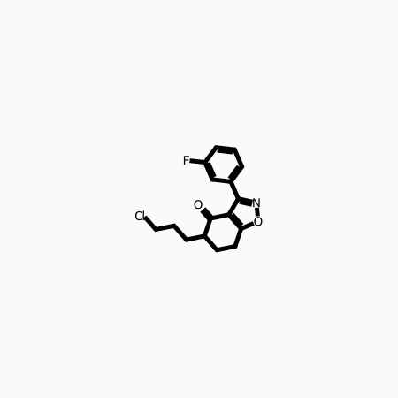 O=C1c2c(-c3cccc(F)c3)noc2CCC1CCCCl